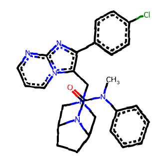 CN(C(=O)N1C2CCC1CN(Cc1c(-c3ccc(Cl)cc3)nc3ncccn13)C2)c1ccccc1